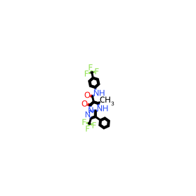 Cc1[nH]c2c(-c3ccccc3)c(C(F)(F)F)nn2c(=O)c1C(=O)Nc1ccc(C(F)(F)F)cc1